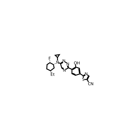 CC[C@@H]1CC[C@H](F)[C@H](N(c2cnc(-c3ccc(-c4ncc(C#N)s4)cc3O)nn2)C2CC2)C1